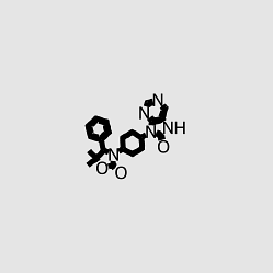 CC1(C)OC(=O)N(C2CCC(n3c(=O)[nH]c4cncnc43)CC2)C1c1ccccc1